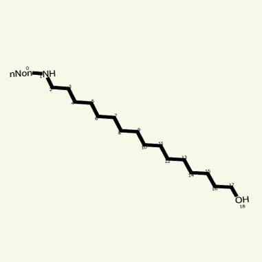 CCCCCCCCCNCCCCCCCCCCCCCCCCO